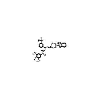 COc1cc(C(=O)N(C)CC(CCN2CCCN(c3nc4ccccc4[nH]3)CC2)c2cccc(C(F)(F)F)c2)cc(OC)c1OC